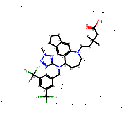 Cn1nnc(N(Cc2cc(C(F)(F)F)cc(C(F)(F)F)c2)C2CCCN(CCC(C)(C)CC(=O)O)c3cc4c(cc32)CCC4)n1